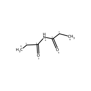 CCC(=O)NC(=O)CC